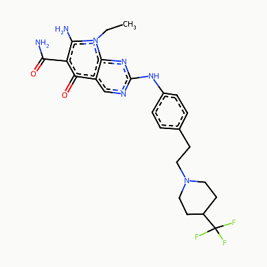 CCn1c(N)c(C(N)=O)c(=O)c2cnc(Nc3ccc(CCN4CCC(C(F)(F)F)CC4)cc3)nc21